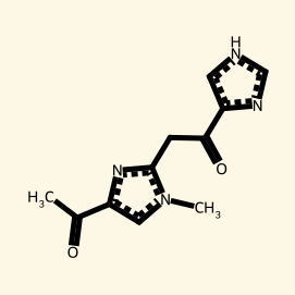 CC(=O)c1cn(C)c(CC(=O)c2c[nH]cn2)n1